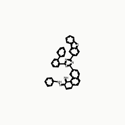 N=C1/C(=N\Nc2ccccc2)C=Cc2ccc3ccc(-c4nc(-c5ccc6sc7ccccc7c6c5)nc(-c5ccccc5-c5ccccc5)n4)cc3c21